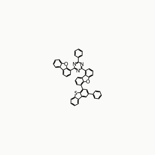 c1ccc(-c2cc(-c3cccc4c3oc3cccc(-c5nc(-c6ccccc6)nc(-c6cccc7c6oc6ccccc67)n5)c34)c3sc4ccccc4c3c2)cc1